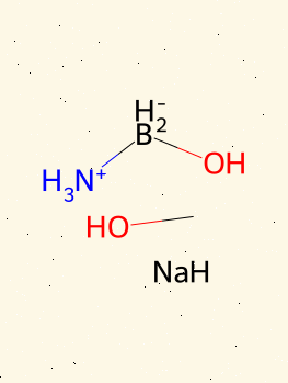 CO.[NH3+][BH2-]O.[NaH]